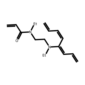 C=C/C=C\C(=C/C=C)N(CC)CCN(CC)C(=O)C=C